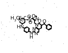 CN1CCCC(Nc2ccc(Nc3ncc4cc(C(=O)c5ccccc5)c(=O)n(Cc5ncoc5S(=O)(=O)CC(F)(F)F)c4n3)cc2)C1